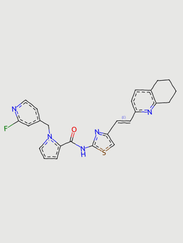 O=C(Nc1nc(/C=C/c2ccc3c(n2)CCCC3)cs1)c1cccn1Cc1ccnc(F)c1